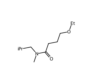 CCOCCCC(=O)N(C)CC(C)C